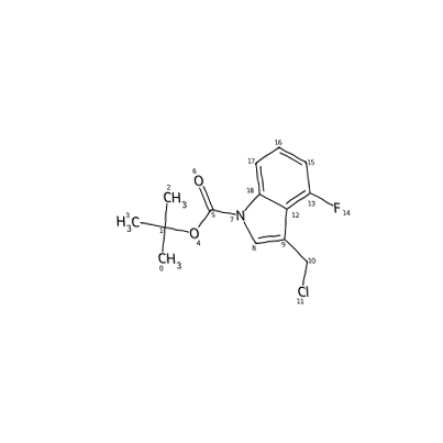 CC(C)(C)OC(=O)n1cc(CCl)c2c(F)cccc21